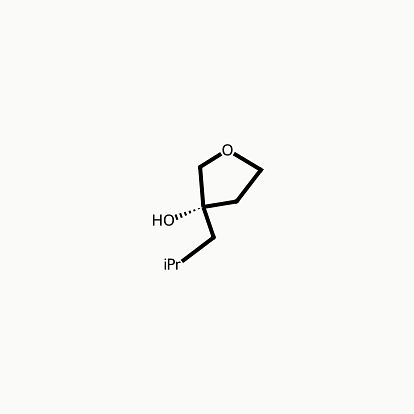 CC(C)C[C@]1(O)CCOC1